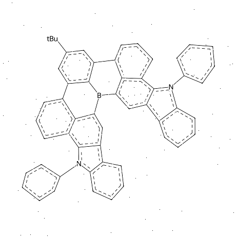 CC(C)(C)c1cc2c3c(c1)-c1cccc4c1c(cc1c5ccccc5n(-c5ccccc5)c41)B3c1cc3c4ccccc4n(-c4ccccc4)c3c3cccc-2c13